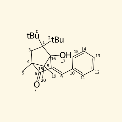 CC(C)(C)C1(C(C)(C)C)CC2(C)C(=O)C(=Cc3ccccc3)C1(O)C2(C)C